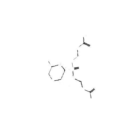 CCCC[C@@H]1SC[C@@H](C(=O)O)N[C@@H]1P(=O)(OCOC(=O)C(C)(C)C)OCOC(=O)C(C)(C)C